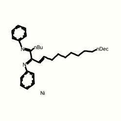 CCCCCCCCCCCCCCCCC/C=C/C(=N\c1ccccc1)C(/CCCC)=N/c1ccccc1.[Ni]